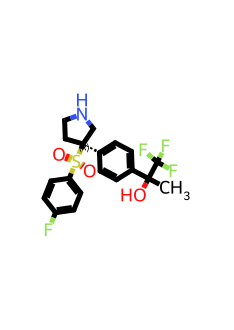 CC(O)(c1ccc([C@]2(S(=O)(=O)c3ccc(F)cc3)CCNC2)cc1)C(F)(F)F